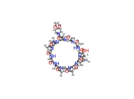 C/C=C/C[C@@H](C)[C@@H](O)[C@H]1C(=O)N[C@@H](CC)C(=O)N(C)[C@H](C)C(=O)N(C)[C@@H]([C@H](C)CN2CCC3(CC2)OCCO3)C(=O)N[C@@H](C(C)C)C(=O)N(C)[C@@H](CC(C)C)C(=O)N[C@@H](C)C(=O)N[C@H](C)C(=O)N(C)[C@@H](CC(C)C)C(=O)N(C)[C@@H](CC(C)C)C(=O)N(C)[C@@H](C(C)C)C(=O)N1C